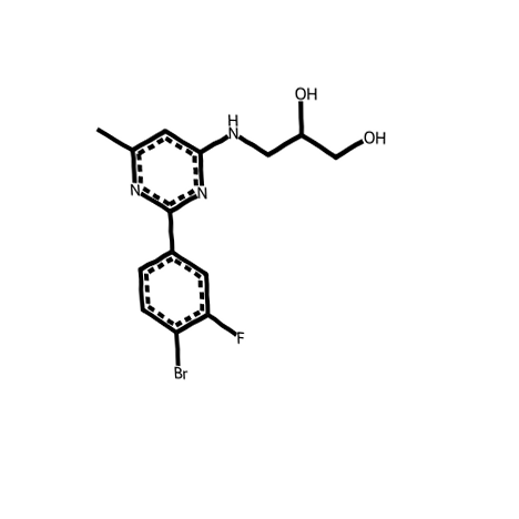 Cc1cc(NCC(O)CO)nc(-c2ccc(Br)c(F)c2)n1